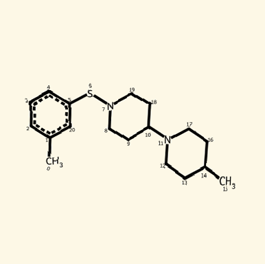 Cc1cccc(SN2CCC(N3CCC(C)CC3)CC2)c1